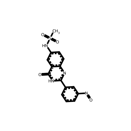 CS(=O)(=O)Nc1ccc2nc(-c3cccc(N=O)c3)[nH]c(=O)c2c1